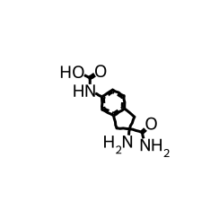 NC(=O)C1(N)Cc2ccc(NC(=O)O)cc2C1